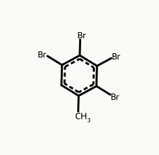 Cc1cc(Br)c(Br)c(Br)c1Br